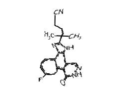 CC(C)(CCC#N)c1nc2c3ccc(F)cc3c3c(=O)[nH]ncc3c2[nH]1